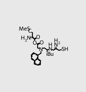 CCC(C)C(CN(CC(=O)OC(=O)[C@@H](N)CCSC)Cc1cccc2ccccc12)NC[C@@H](N)CS